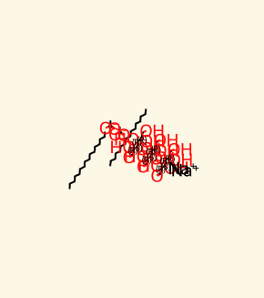 CC(=O)[O-].CC(=O)[O-].CCCCCCCCCCCCCCCC.CCCCCCCCCCCCCCCC.O=C[C@H](O)[C@@H](O)[C@H](O)[C@H](O)CO.O=C[C@H](O)[C@@H](O)[C@H](O)[C@H](O)CO.O=C[C@H](O)[C@@H](O)[C@H](O)[C@H](O)CO.[Na+].[Na+]